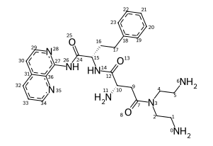 NCCN(CCN)C(=O)C[C@H](N)C(=O)N[C@@H](CCc1ccccc1)C(=O)Nc1nccc2cccnc12